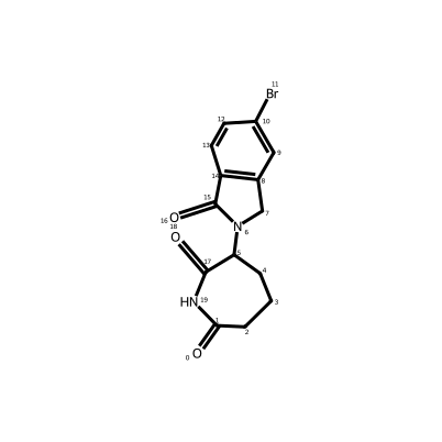 O=C1CCCC(N2Cc3cc(Br)ccc3C2=O)C(=O)N1